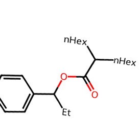 CCCCCCC(CCCCCC)C(=O)OC(CC)c1ccccc1